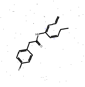 C=C/C=C(\C=C/CC)NC(=O)Cc1ccc(F)cc1